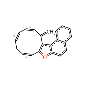 C=C1/C=C\C=C/C/C=C\c2oc3ccc4ccccc4c3c21